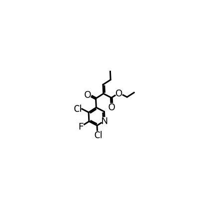 CCC=C(C(=O)OCC)C(=O)c1cnc(Cl)c(F)c1Cl